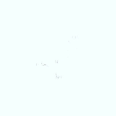 COc1cccc(CCN2C[C@H](N)C[C@H](N)C2)c1